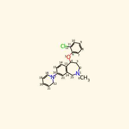 CN1CCC(Oc2ccccc2Cl)c2ccc(N3C=CC=CC3)cc2C1